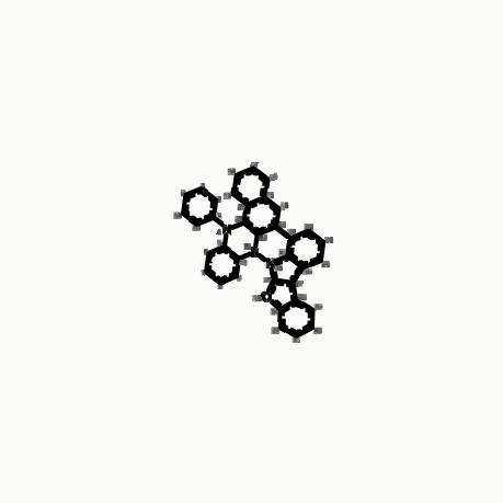 c1ccc(N2c3ccccc3B3c4c(cc5ccccc5c42)-c2cccc4c5c6ccccc6oc5n3c24)cc1